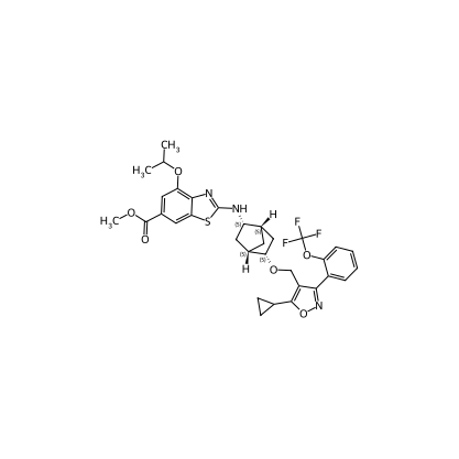 COC(=O)c1cc(OC(C)C)c2nc(N[C@H]3C[C@@H]4C[C@H]3C[C@@H]4OCc3c(-c4ccccc4OC(F)(F)F)noc3C3CC3)sc2c1